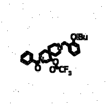 CC(C)COc1ccccc1CN1CCC2(CC1)CCN(C(=O)c1ccccc1)CC2OC(=O)C(F)(F)F